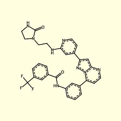 O=C(Nc1cccc(-c2ccnc3cc(-c4ccnc(NCCN5CCNC5=O)c4)nn23)c1)c1cccc(C(F)(F)F)c1